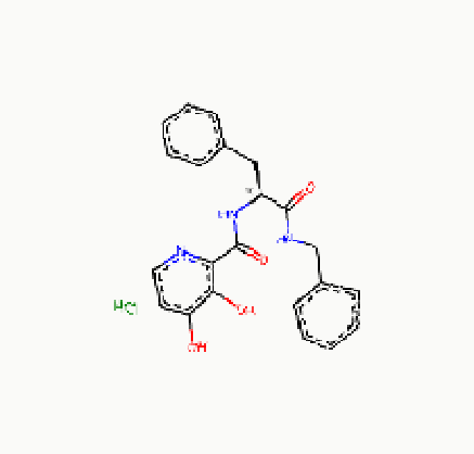 Cl.O=C(N[C@@H](Cc1ccccc1)C(=O)NCc1ccccc1)c1nccc(O)c1O